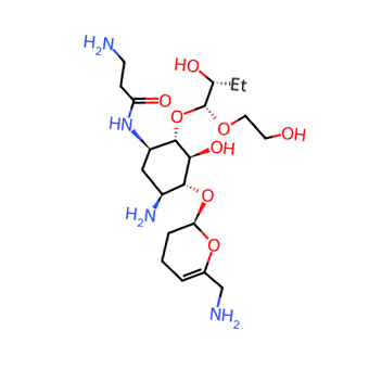 CC[C@@H](O)[C@H](OCCO)O[C@@H]1[C@@H](O)[C@H](O[C@@H]2CCC=C(CN)O2)[C@@H](N)C[C@H]1NC(=O)CCN